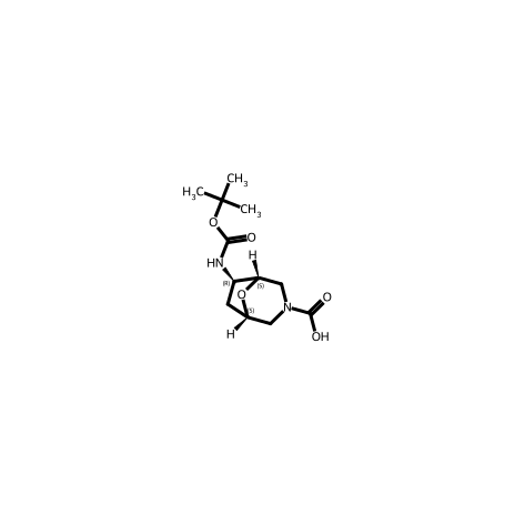 CC(C)(C)OC(=O)N[C@@H]1C[C@H]2CN(C(=O)O)C[C@@H]1O2